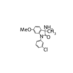 COc1ccc2c(c1)N(c1cccc(Cl)c1)C(=O)C2(C)N